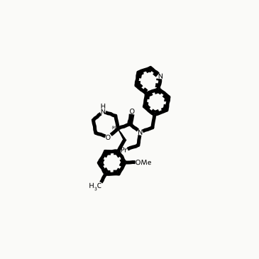 COc1cc(C)ccc1C[C@]1(C(=O)N(Cc2ccc3ncccc3c2)CC(C)C)CNCCO1